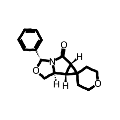 O=C1[C@H]2[C@@H]([C@H]3CO[C@H](c4ccccc4)N13)C21CCOCC1